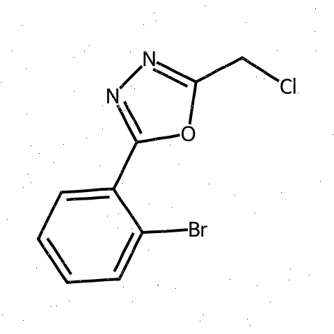 ClCc1nnc(-c2ccccc2Br)o1